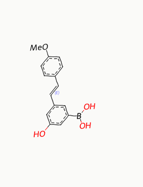 COc1ccc(/C=C/c2cc(O)cc(B(O)O)c2)cc1